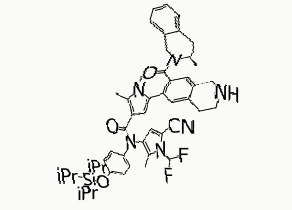 Cc1c(C(=O)N(c2ccc(O[Si](C(C)C)(C(C)C)C(C)C)cc2)c2cc(C#N)n(C(F)F)c2C)cc(-c2cc3c(cc2C(=O)N2Cc4ccccc4C[C@H]2C)CNCC3)n1C